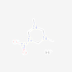 CN1CN(C)CN([N+](=O)[O-])C1.[H+]